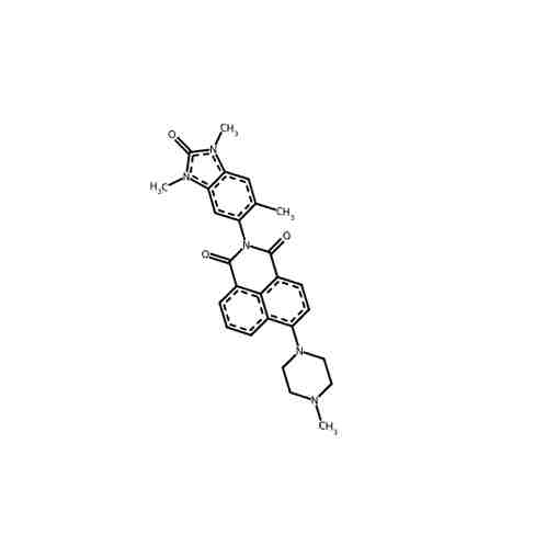 Cc1cc2c(cc1N1C(=O)c3cccc4c(N5CCN(C)CC5)ccc(c34)C1=O)n(C)c(=O)n2C